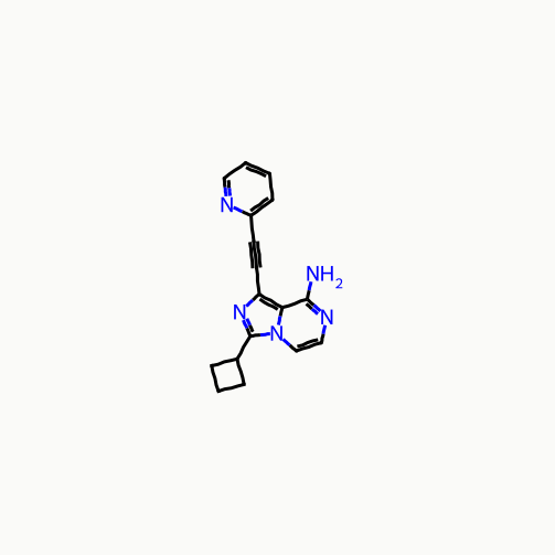 Nc1nccn2c(C3CCC3)nc(C#Cc3ccccn3)c12